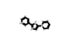 C1=CCN(c2cnc(-c3cccnc3)s2)C=C1